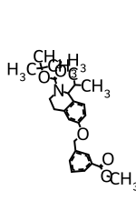 COC(=O)c1cccc(COc2ccc3c(c2)CCN(C(=O)OC(C)(C)C)C3C(C)C)c1